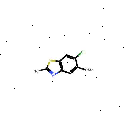 COc1cc2nc(C#N)sc2cc1Cl